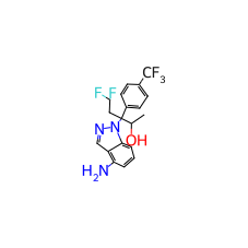 CC(O)C(CC(F)F)(c1ccc(C(F)(F)F)cc1)n1ncc2c(N)cccc21